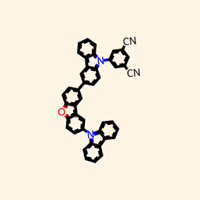 N#Cc1cc(C#N)cc(-n2c3ccccc3c3cc(-c4ccc5oc6ccc(-n7c8ccccc8c8ccccc87)cc6c5c4)ccc32)c1